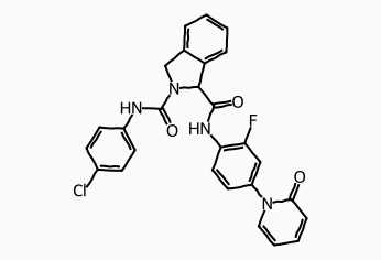 O=C(Nc1ccc(-n2ccccc2=O)cc1F)C1c2ccccc2CN1C(=O)Nc1ccc(Cl)cc1